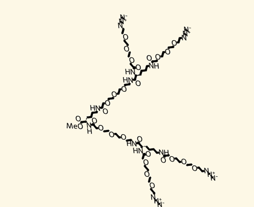 COC(=O)[C@H](CCCCNC(=O)COCCOCCOCCNC(=O)[C@H](CCCCNC(=O)COCCOCCOCCN=[N+]=[N-])NC(=O)COCCOCCOCCN=[N+]=[N-])NC(=O)COCCOCCOCCNC(=O)[C@H](CCCCNC(=O)COCCOCCOCCN=[N+]=[N-])NC(=O)COCCOCCOCCN=[N+]=[N-]